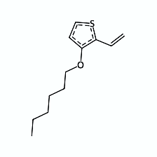 C=Cc1sccc1OCCCCCC